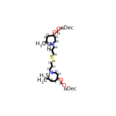 CCCCCCCCCCOCOC1CCC(C)[SiH2]N(CCCSSCCCN2CCC(OCOCCCCCCCCCC)CCC(C)[SiH2]2)CC1